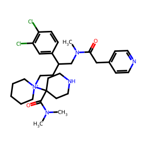 CN(C)C(=O)C1([N+]2(CCC(CN(C)C(=O)Cc3ccncc3)c3ccc(Cl)c(Cl)c3)CCCCC2)CCNCC1